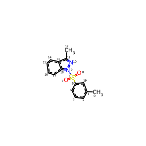 Cc1cccc(S(=O)(=O)n2nc(C)c3c[c]ccc32)c1